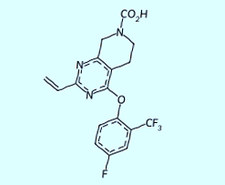 C=Cc1nc2c(c(Oc3ccc(F)cc3C(F)(F)F)n1)CCN(C(=O)O)C2